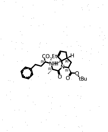 CCOC(=O)[C@H](CCc1ccccc1)N[C@@H](C)C(=O)N1[C@H](C(=O)OC(C)(C)C)C[C@H]2CC=C[C@@H]21